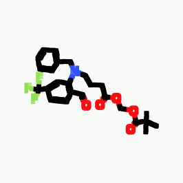 CC(C)(C)C(=O)OCOC(=O)CCCN(Cc1ccccc1)c1cc(C(F)(F)F)ccc1C=O